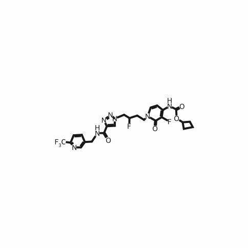 O=C(Nc1ccn(CCC(F)Cn2cc(C(=O)NCc3ccc(C(F)(F)F)nc3)nn2)c(=O)c1F)OC1CCC1